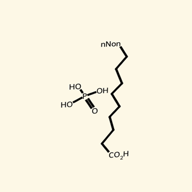 CCCCCCCCCCCCCCCCCC(=O)O.O=P(O)(O)O